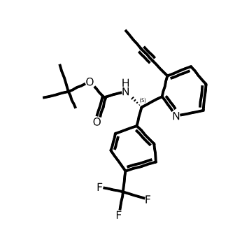 CC#Cc1cccnc1[C@@H](NC(=O)OC(C)(C)C)c1ccc(C(F)(F)F)cc1